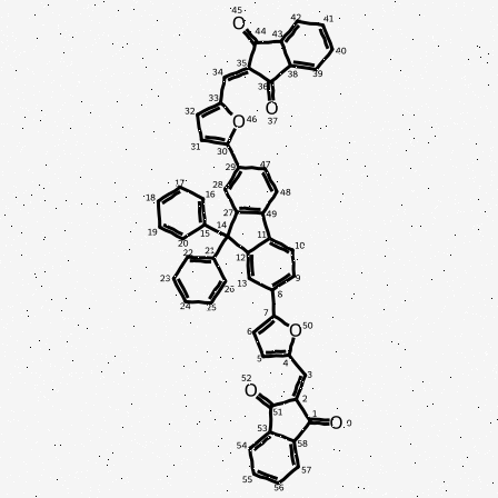 O=C1C(=Cc2ccc(-c3ccc4c(c3)C(c3ccccc3)(c3ccccc3)c3cc(-c5ccc(C=C6C(=O)c7ccccc7C6=O)o5)ccc3-4)o2)C(=O)c2ccccc21